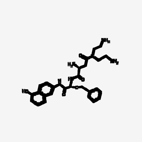 NCCN(CCN)C(=O)C[C@H](N)C(=O)N[C@@H](CCc1ccccc1)C(=O)Nc1ccc2c(O)cccc2c1